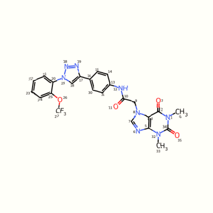 Cn1c(=O)c2c(ncn2CC(=O)Nc2ccc(-c3cn(-c4ccccc4OC(F)(F)F)nn3)cc2)n(C)c1=O